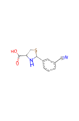 N#Cc1cccc(C2NC(C(=O)O)CS2)c1